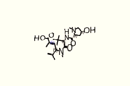 C/C(=C\[C@H](C(C)C)N(C)C(=O)[C@@H](NC(=O)[C@H]1C[C@@H](O)CN1C)C(C)(C)C)C(=O)O